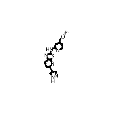 CC(C)OCc1ccnc(Nc2nc3ccc(-c4cn[nH]c4)nc3s2)c1